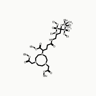 CCOP(=O)(OCC)C(CCCNC(=O)CCC(C(=O)OC(C)(C)C)N1CCN(CC(=O)OC(C)(C)C)CCN(CC(=O)OC(C)(C)C)CC1)(O[Si](C)(C)C(C)(C)C)P(=O)(OCC)OCC